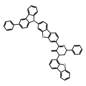 C=C1C(c2ccc3c(c2)oc2cc(-n4c5ccccc5c5cc(-c6ccccc6)ccc54)ccc23)=NC(c2ccccc2)CC1c1cccc2c1oc1ccccc12